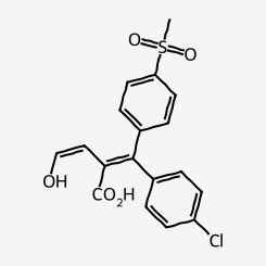 CS(=O)(=O)c1ccc(C(=C(/C=C\O)C(=O)O)c2ccc(Cl)cc2)cc1